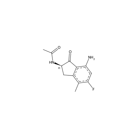 CC(=O)N[C@@H]1Cc2c(C)c(F)cc(N)c2C1=O